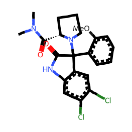 COc1ccccc1C1(N2CCC[C@H]2C(=O)N(C)C)C(=O)Nc2cc(Cl)c(Cl)cc21